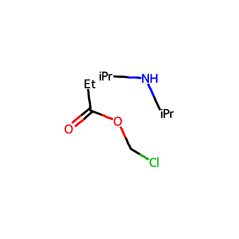 CC(C)NC(C)C.CCC(=O)OCCl